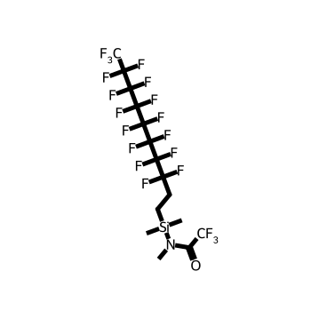 CN(C(=O)C(F)(F)F)[Si](C)(C)CCC(F)(F)C(F)(F)C(F)(F)C(F)(F)C(F)(F)C(F)(F)C(F)(F)C(F)(F)F